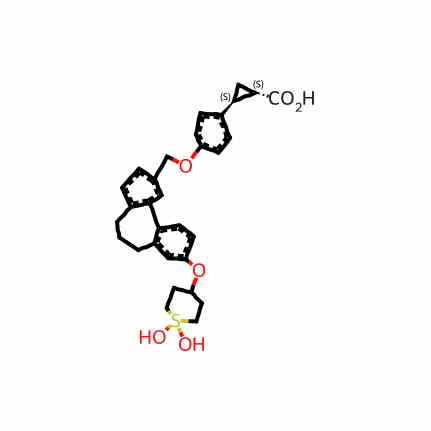 O=C(O)[C@H]1C[C@@H]1c1ccc(OCc2ccc3c(c2)-c2ccc(OC4CCS(O)(O)CC4)cc2CCC3)cc1